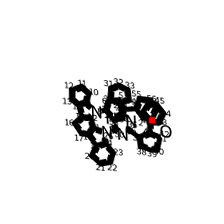 c1ccc(-c2ccc(-n3c4ccccc4c4ccc5c6ccccc6n(-c6nc(-c7ccccc7)nc(-c7cccc8oc9ccccc9c78)n6)c5c43)cc2)cc1